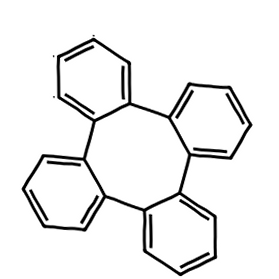 [c]1[c]cc2c([c]1)-c1ccccc1-c1ccccc1-c1ccccc1-2